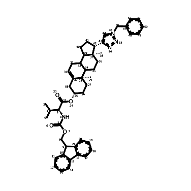 CC(C)[C@H](NC(=O)OCC1c2ccccc2-c2ccccc21)C(=O)O[C@H]1CC[C@@]2(C)C(=CCC3C2CC[C@@]2(C)C3CC[C@@H]2c2cn(Cc3ccccc3)nn2)C1